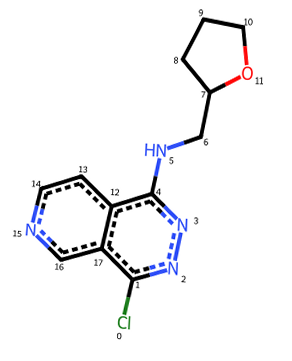 Clc1nnc(NCC2CCCO2)c2ccncc12